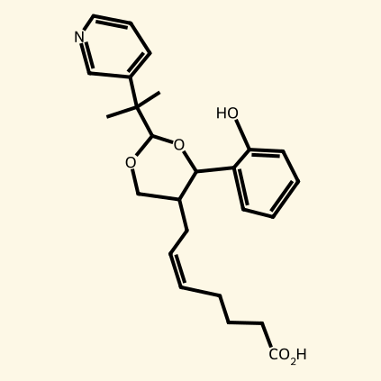 CC(C)(c1cccnc1)C1OCC(C/C=C\CCCC(=O)O)C(c2ccccc2O)O1